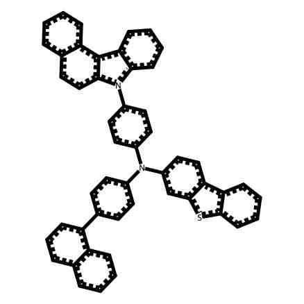 c1ccc2c(-c3ccc(N(c4ccc(-n5c6ccccc6c6c7ccccc7ccc65)cc4)c4ccc5c(c4)sc4ccccc45)cc3)cccc2c1